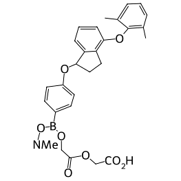 CNOB(OCC(=O)OCC(=O)O)c1ccc(OC2CCc3c(Oc4c(C)cccc4C)cccc32)cc1